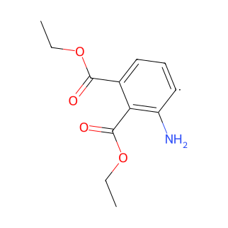 CCOC(=O)c1cc[c]c(N)c1C(=O)OCC